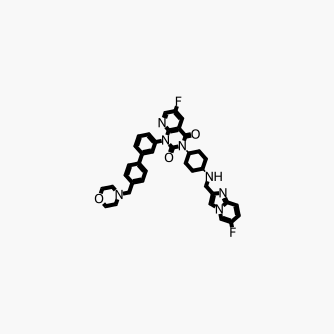 O=c1c2cc(F)cnc2n(-c2cccc(-c3ccc(CN4CCOCC4)cc3)c2)c(=O)n1[C@H]1CC[C@@H](NCc2cn3cc(F)ccc3n2)CC1